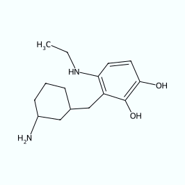 CCNc1ccc(O)c(O)c1CC1CCCC(N)C1